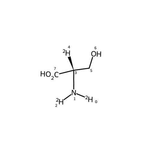 [2H]N([2H])[C@@]([2H])(CO)C(=O)O